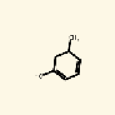 CC1C=CC=C(O)C1